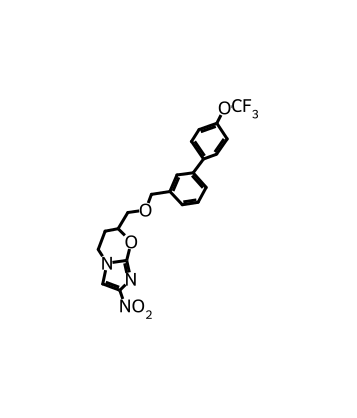 O=[N+]([O-])c1cn2c(n1)OC(COCc1cccc(-c3ccc(OC(F)(F)F)cc3)c1)CC2